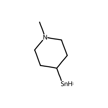 CN1CC[CH]([SnH])CC1